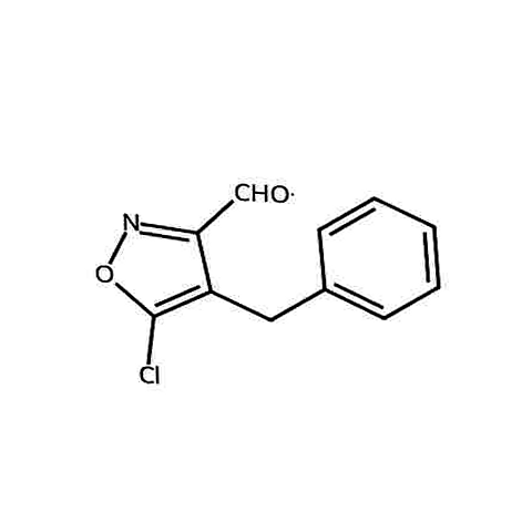 O=[C]c1noc(Cl)c1Cc1ccccc1